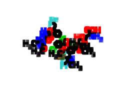 CC(C)OC(=O)c1cc(-c2nn(C)c(C(F)(F)F)c2Br)c(F)cc1Cl.COc1c(Cl)ccc(Cl)c1C(=O)O.COc1nc(C)nc(NC(=O)NS(=O)(=O)c2ccccc2CCC(F)(F)F)n1.CP(=O)(O)CCC(N)C(=O)O